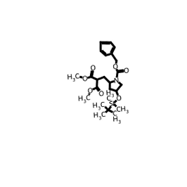 COC(=O)C(CC1CC(O[Si](C)(C)C(C)(C)C)CN1C(=O)OCc1ccccc1)C(=O)OC